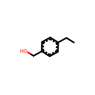 CCc1ccc([CH]O)cc1